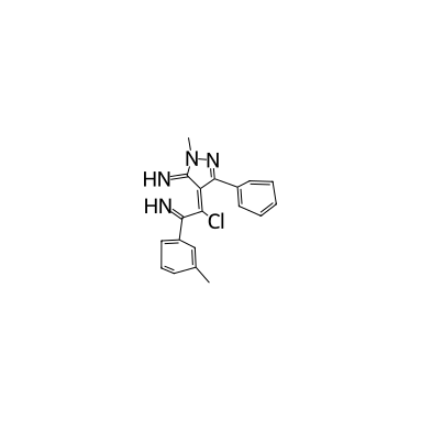 Cc1cccc(C(=N)/C(Cl)=C2\C(=N)N(C)N=C2c2ccccc2)c1